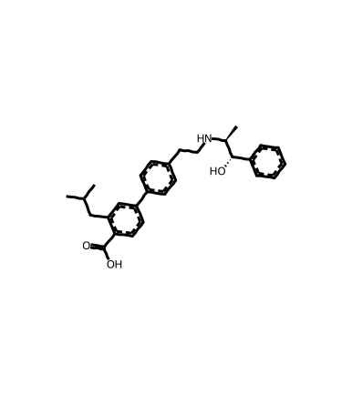 CC(C)Cc1cc(-c2ccc(CCN[C@@H](C)[C@@H](O)c3ccccc3)cc2)ccc1C(=O)O